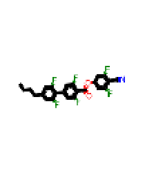 CCCCc1cc(F)c(-c2cc(F)c(C(=O)Oc3cc(F)c(C#N)c(F)c3)c(F)c2)c(F)c1